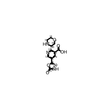 O=C(O)c1cc(-c2n[nH]c(=O)o2)cnc1[C@H]1COCCN1